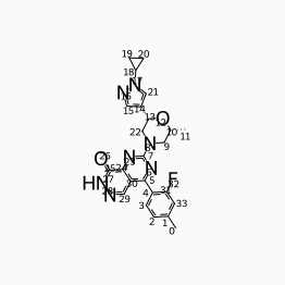 Cc1ccc(-c2nc(N3C[C@@H](C)O[C@@H](c4cnn(C5CC5)c4)C3)nc3c(=O)[nH]ncc23)c(F)c1